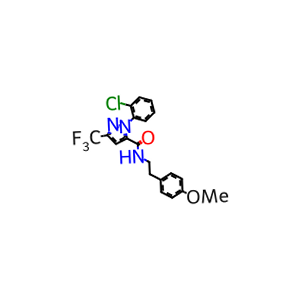 COc1ccc(CCNC(=O)c2cc(C(F)(F)F)nn2-c2ccccc2Cl)cc1